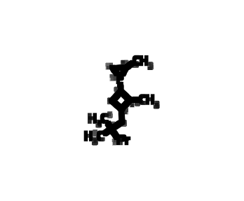 CC1C(CC(C)(C)C(C)C)CC1P1CC1C